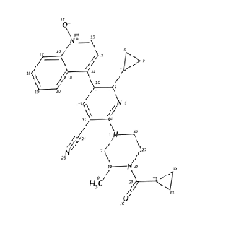 CC1CN(c2nc(C3CC3)c(-c3cc[n+]([O-])c4ccccc34)cc2C#N)CCN1C(=O)C1CC1